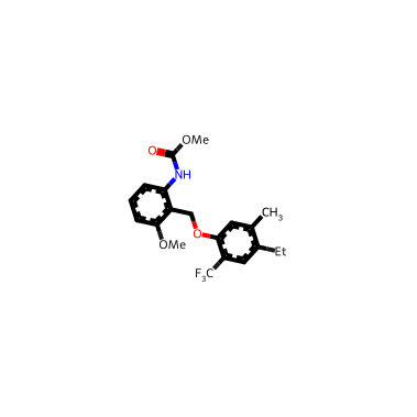 CCc1cc(C(F)(F)F)c(OCc2c(NC(=O)OC)cccc2OC)cc1C